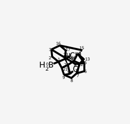 BC12CC3CC4CC5CC6C7C[C@@]58C[C@@]45CC3CC1(C)[C@@]7(C62)[C@@H]58